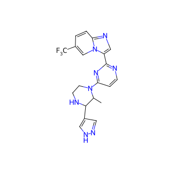 CC1C(c2cn[nH]c2)NCCN1c1ccnc(-c2cnc3ccc(C(F)(F)F)cn23)n1